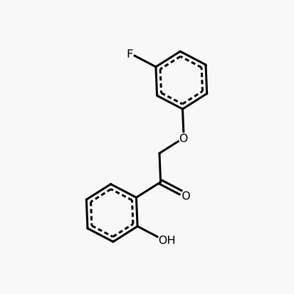 O=C(COc1cccc(F)c1)c1ccccc1O